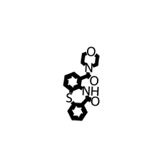 O=C1Nc2c(cccc2C(=O)N2CCOCC2)Sc2ccccc21